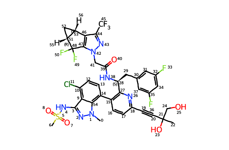 Cn1nc(NS(C)(=O)=O)c2c(Cl)ccc(-c3ccc(C#CC(C)(O)CO)nc3[C@H](Cc3cc(F)cc(F)c3)NC(=O)Cn3nc(C(F)(F)F)c4c3C(F)(F)[C@@H]3C[C@H]43)c21